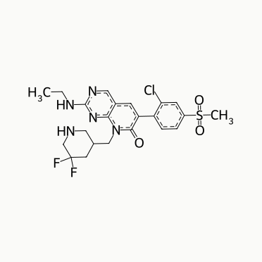 CCNc1ncc2cc(-c3ccc(S(C)(=O)=O)cc3Cl)c(=O)n(CC3CNCC(F)(F)C3)c2n1